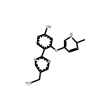 CC1C=CC(Oc2cc(C#N)ccc2-c2ncc(CN)cn2)=CN1